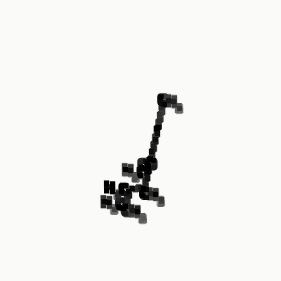 CCCCCCC/C=C/CCCCCCCCOC(=O)/C=C(\C)CCCC(C)CCCC(C)CCCC(C)C